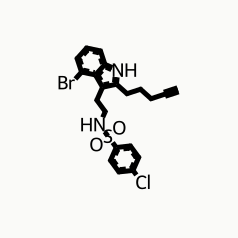 C#CCCCc1[nH]c2cccc(Br)c2c1CCNS(=O)(=O)c1ccc(Cl)cc1